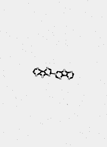 c1cnc2c(n1)oc1c[n+](-c3cnc4c(n3)oc3nccnc34)cnc12